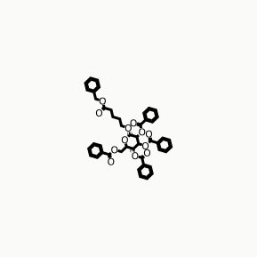 O=C(CCCCO[C@H]1OC(COC(=O)c2ccccc2)[C@@H](OC(=O)c2ccccc2)C(OC(=O)c2ccccc2)C1OC(=O)c1ccccc1)OCc1ccccc1